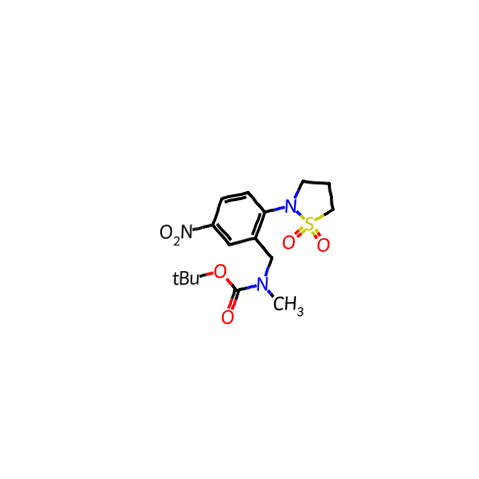 CN(Cc1cc([N+](=O)[O-])ccc1N1CCCS1(=O)=O)C(=O)OC(C)(C)C